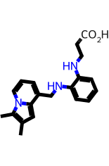 Cc1cc2c(CNc3ccccc3NCCC(=O)O)cccn2c1C